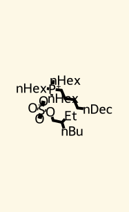 CCCCC(CC)COS(=O)(=O)[O-].CCCCCCCCCCCCCC[P+](CCCCCC)(CCCCCC)CCCCCC